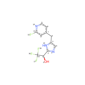 O[C@H](c1ncc(Cc2ccnc(F)c2)[nH]1)C(F)(F)F